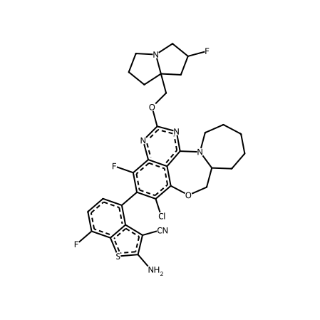 N#Cc1c(N)sc2c(F)ccc(-c3c(Cl)c4c5c(nc(OCC67CCCN6CC(F)C7)nc5c3F)N3CCCCCC3CO4)c12